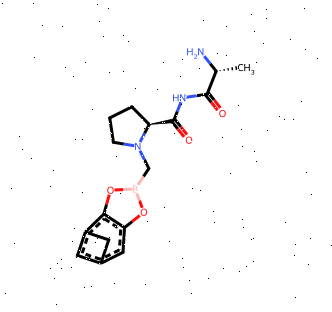 C[C@@H](N)C(=O)NC(=O)[C@@H]1CCCN1CB1Oc2cc3cc(c2O1)C3